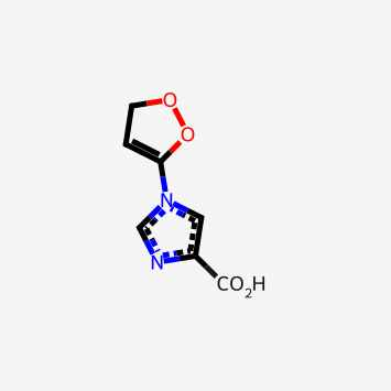 O=C(O)c1cn(C2=CCOO2)cn1